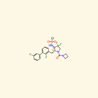 CCS(=O)(=O)N[C@@H]1[C@H](Cc2cccc(-c3cccc(F)c3)c2F)N(C(=O)N2CCC2)CC1(F)F